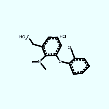 CN(C)c1c(CC(=O)O)cccc1Oc1ccccc1Cl.Cl